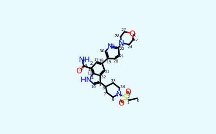 CCS(=O)(=O)N1CCC(c2c[nH]c3c(C(N)=O)cc(-c4ccc(N5CCOCC5)nc4)cc23)CC1